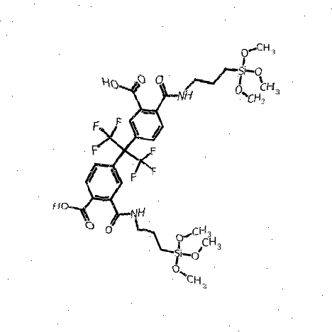 CO[Si](CCCNC(=O)c1ccc(C(c2ccc(C(=O)O)c(C(=O)NCCC[Si](OC)(OC)OC)c2)(C(F)(F)F)C(F)(F)F)cc1C(=O)O)(OC)OC